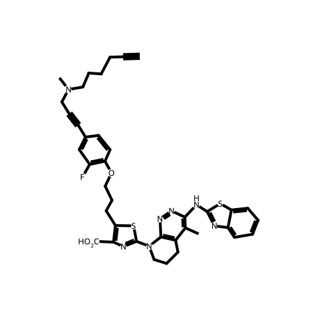 C#CCCCCN(C)CC#Cc1ccc(OCCCc2sc(N3CCCc4c3nnc(Nc3nc5ccccc5s3)c4C)nc2C(=O)O)c(F)c1